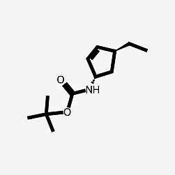 CC[C@@H]1C=C[C@@H](NC(=O)OC(C)(C)C)C1